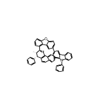 C[C@@H]1C(c2cccc3oc4ccc(-c5ccc6c(c5)c5ccccc5n6-c5ccccc5)cc4c23)=Nc2c(ccc3ccccc23)[C@@H]1c1ccccc1